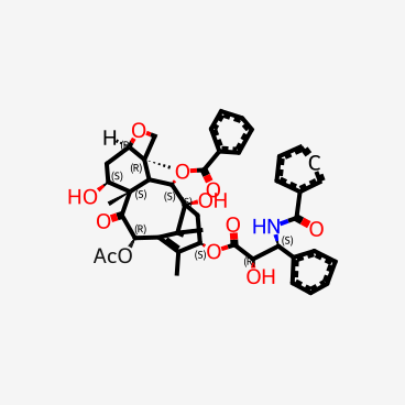 CC(=O)O[C@H]1C(=O)[C@@]2(C)C([C@H](OC(=O)c3ccccc3)[C@]3(O)C[C@H](OC(=O)[C@H](O)[C@@H](NC(=O)c4ccccc4)c4ccccc4)C(C)=C1C3(C)C)[C@]1(C)CO[C@@H]1C[C@@H]2O